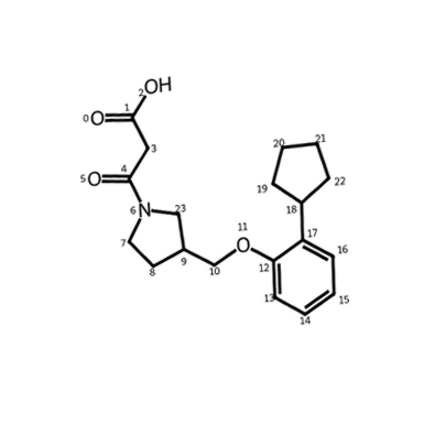 O=C(O)CC(=O)N1CCC(COc2ccccc2C2CCCC2)C1